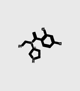 C=C(c1ccc(Cl)cc1Cl)N(CC(C)C)[C@H]1CCNC1